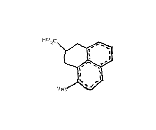 COc1ccc2cccc3c2c1CC(C(=O)O)C3